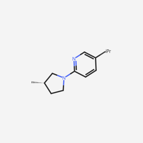 CC(C)c1ccc(N2CC[C@H](C)C2)nc1